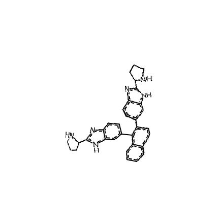 c1ccc2c(-c3ccc4nc(C5CCCN5)[nH]c4c3)c(-c3ccc4nc(C5CCCN5)[nH]c4c3)ccc2c1